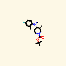 Cc1cc(F)ccc1N(C)[C@@H]1CCN(C(=O)OC(C)(C)C)C[C@@H]1C